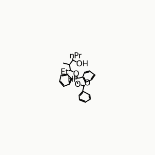 CCCC(O)C(C)C(CC)O[PH](OC(=O)c1ccccc1)(c1ccccc1)c1ccccc1